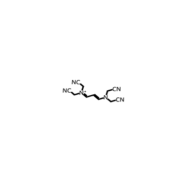 N#CCN(/C=C/C=[N+](CC#N)CC#N)CC#N